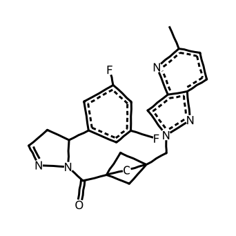 Cc1ccc2nn(CC34CC(C(=O)N5N=CCC5c5cc(F)cc(F)c5)(C3)C4)cc2n1